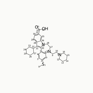 CSc1ccc2c(c1)N(CCN1CCCCC1)CCn1c-2c(C2CCCCC2)c2ccc(C(=O)O)cc21